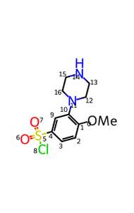 COc1ccc(S(=O)(=O)Cl)cc1N1CCNCC1